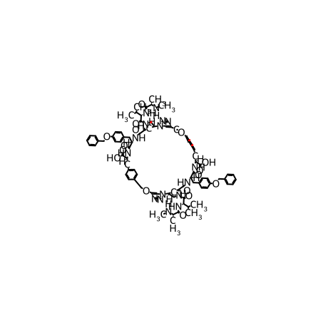 CN[C@@H](C)C(=O)N[C@H](C(=O)N1C[C@@H]2C[C@H]1C(=O)N[C@@H](Cc1ccc(OCc3ccccc3)cc1)C(=O)N[C@H](C(=O)O)Cc1ccc(cc1)COc1cn(nn1)[C@H]1C[C@@H](C(=O)N[C@@H](Cc3ccc(OCc4ccccc4)cc3)C(=O)N[C@H](C(=O)O)Cc3ccc(cc3)OCc3cn2nn3)N(C(=O)[C@@H](NC(=O)[C@H](C)NC)C(C)C)C1)C(C)C